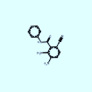 N#Cc1ccc(N)c(N)c1C(=O)Nc1ccccc1